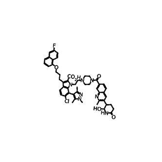 Cc1nc2cc(C(=O)N3CCN(CCn4c(C(=O)O)c(CCCOc5cccc6cc(F)ccc56)c5ccc(Cl)c(-c6c(C)nn(C)c6C)c54)CC3)ccc2cc1C1CCC(=O)NC1O